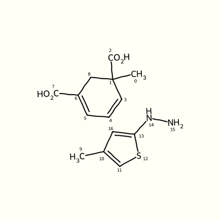 CC1(C(=O)O)C=CC=C(C(=O)O)C1.Cc1csc(NN)c1